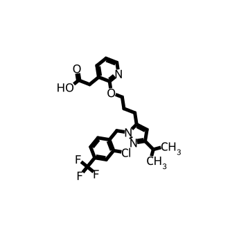 CC(C)c1cc(CCCOc2ncccc2CC(=O)O)n(Cc2ccc(C(F)(F)F)cc2Cl)n1